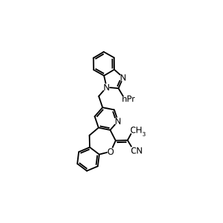 CCCc1nc2ccccc2n1Cc1cnc2c(c1)Cc1ccccc1OC2=C(C)C#N